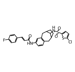 O=C(/C=C/c1ccc(F)cc1)Nc1ccc2c(c1)CC1CCC(C2)C1NS(=O)(=O)c1ccc(Cl)s1